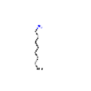 NCCCCCCC[C]=O